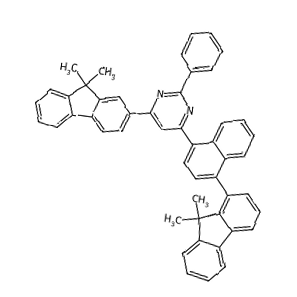 CC1(C)c2ccccc2-c2ccc(-c3cc(-c4ccc(-c5cccc6c5C(C)(C)c5ccccc5-6)c5ccccc45)nc(-c4ccccc4)n3)cc21